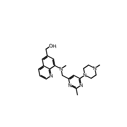 Cc1nc(CN(C)c2cc(CO)cc3cccnc23)cc(N2CCN(C)CC2)n1